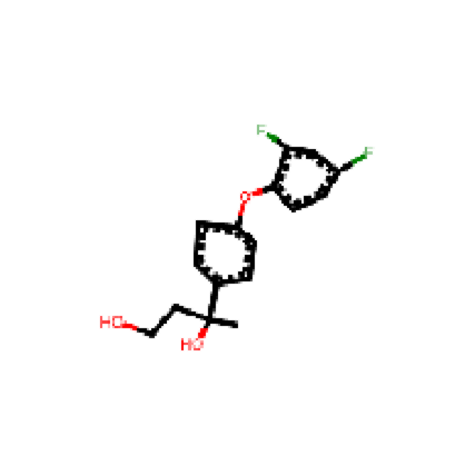 CC(O)(CCO)c1ccc(Oc2ccc(F)cc2F)cc1